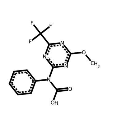 COc1nc(N(C(=O)O)c2ccccc2)nc(C(F)(F)F)n1